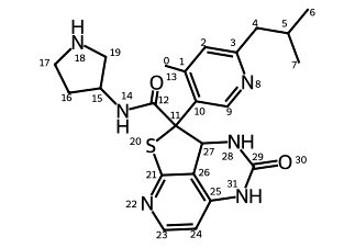 Cc1cc(CC(C)C)ncc1C1(C(=O)NC2CCNC2)Sc2nccc3c2C1NC(=O)N3